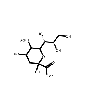 COC(=O)C1(O)CC(O)C(NC(C)=O)C([C@H](O)[C@H](O)CO)O1